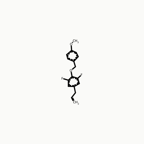 C=CCc1cc(F)c(OCc2ccc(OC)cc2)c(F)c1